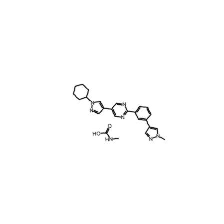 CNC(=O)O.Cn1cc(-c2cccc(-c3ncc(-c4cnn(C5CCCCC5)c4)cn3)c2)cn1